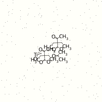 CC(C)=O.CCC(CC)(C(C)=O)C(=O)[O-].CCC(CC)(C(C)=O)C(=O)[O-].[O]=[Ti+2]